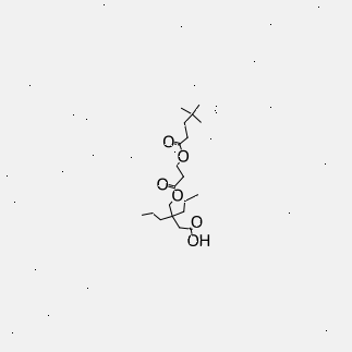 CCCC(CCC)(COC(=O)CCOC(=O)CCC(C)(C)C)CC(=O)O